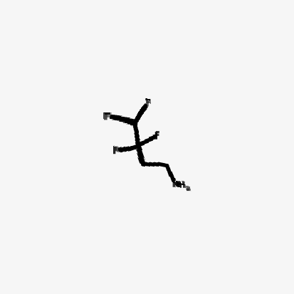 NCCC(F)(F)C(F)F